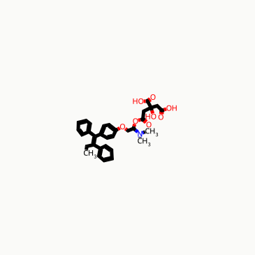 CC/C(=C(\c1ccccc1)c1ccc(OCC(OC(=O)CC(O)(CC(=O)O)C(=O)O)N(C)C)cc1)c1ccccc1